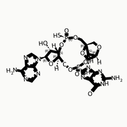 Nc1nc2c(ncn2[C@@H]2O[C@@]34CO[C@@H]2[C@@H]3O[P@](=O)(S)OC[C@H]2O[C@@H](n3cnc5c(N)ncnc53)[C@H](O)[C@@H]2O[P@](=O)(S)OC4)c(=O)[nH]1